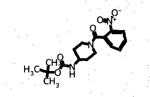 CC(C)(C)OC(=O)NC1CCN(C(=O)c2ccccc2[N+](=O)[O-])CC1